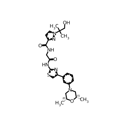 C[C@@H]1CN(c2cccc(-c3csc(NC(=O)CNC(=O)c4ccn(C(C)(C)CO)n4)n3)c2)C[C@H](C)O1